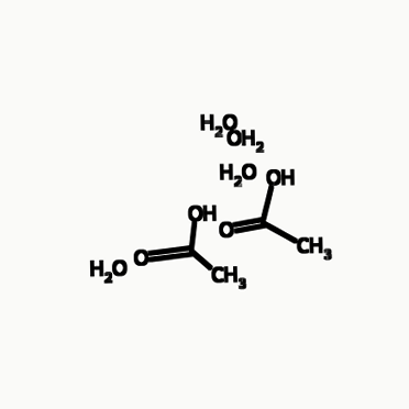 CC(=O)O.CC(=O)O.O.O.O.O